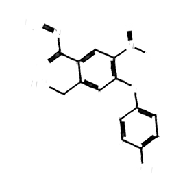 C=NC(=O)c1cc([N+](=O)[O-])c(Sc2ccc(C)cc2)cc1CC